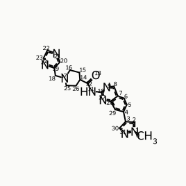 Cn1cc(-c2ccc3cnc(NC(=O)C4CCN(Cc5cnccn5)CC4)nc3c2)cn1